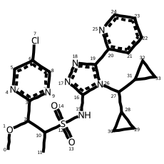 COC(c1ncc(Cl)cn1)C(C)S(=O)(=O)Nc1nnc(-c2ccccn2)n1C(C1CC1)C1CC1